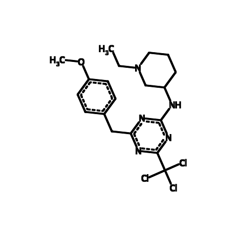 CCN1CCCC(Nc2nc(Cc3ccc(OC)cc3)nc(C(Cl)(Cl)Cl)n2)C1